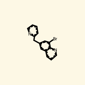 Brc1cc(Cc2ccccn2)cc2cccnc12